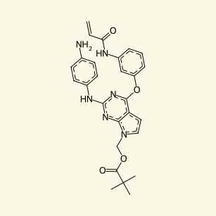 C=CC(=O)Nc1cccc(Oc2nc(Nc3ccc(N)cc3)nc3c2ccn3COC(=O)C(C)(C)C)c1